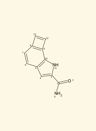 NC(=O)c1cc2ccc3c(c2[nH]1)C=C3